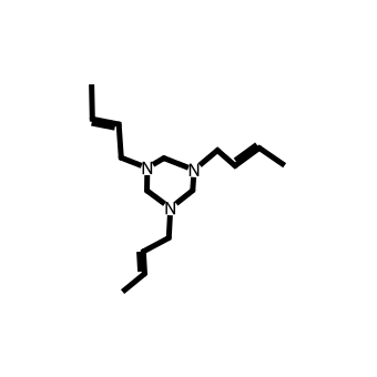 C/C=C/CN1CN(C/C=C/C)CN(C/C=C/C)C1